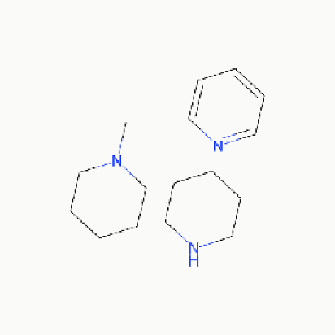 C1CCNCC1.CN1CCCCC1.c1ccncc1